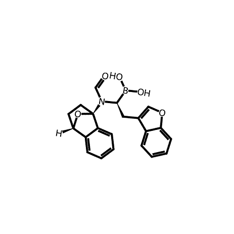 O=CN([C@H](Cc1coc2ccccc12)B(O)O)[C@]12CC[C@H](O1)c1ccccc12